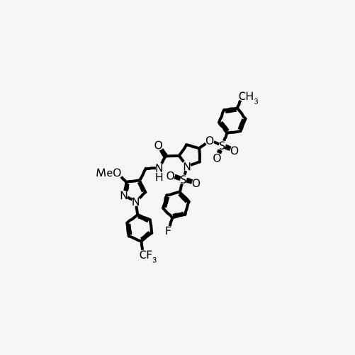 COc1nn(-c2ccc(C(F)(F)F)cc2)cc1CNC(=O)C1CC(OS(=O)(=O)c2ccc(C)cc2)CN1S(=O)(=O)c1ccc(F)cc1